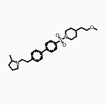 COCCC1CCN(S(=O)(=O)c2ccc(-c3ccc(CCN4CCCC4C)cc3)cc2)CC1